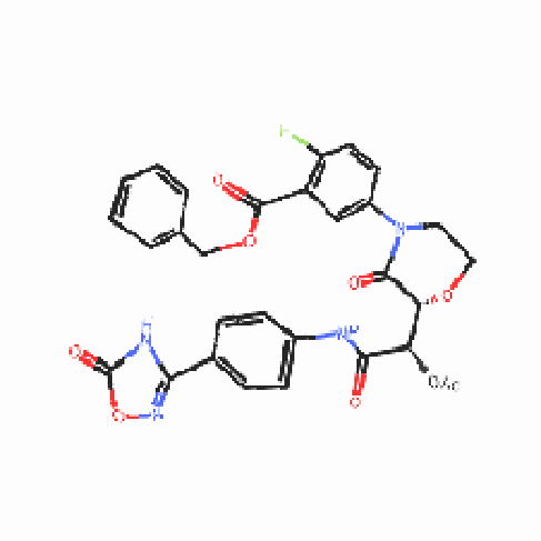 CC(=O)O[C@@H](C(=O)Nc1ccc(-c2noc(=O)[nH]2)cc1)[C@H]1OCCN(c2ccc(F)c(C(=O)OCc3ccccc3)c2)C1=O